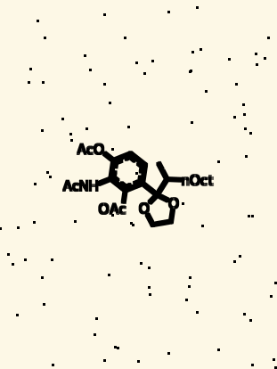 CCCCCCCCC(C)C1(c2ccc(OC(C)=O)c(NC(C)=O)c2OC(C)=O)OCCO1